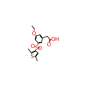 CCOc1cc(CC(=O)O)cc(S(=O)(=O)c2cc(C)sc2C)c1